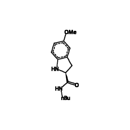 CCCCNC(=O)[C@@H]1Cc2cc(OC)ccc2N1